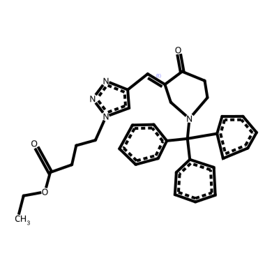 CCOC(=O)CCCn1cc(/C=C2\CN(C(c3ccccc3)(c3ccccc3)c3ccccc3)CCC2=O)nn1